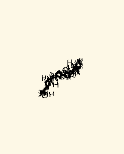 Cc1c(NC(=O)c2nc3c([nH]2)CCN(CCC2(CO)CC2)C3)cccc1-c1cccc(NC(=O)c2nc3c(n2C)CCN(C)C3)c1Cl